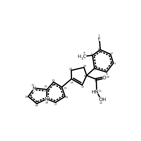 Cc1c(F)cccc1C1(C(=O)NO)C=C(c2ccn3ccnc3c2)CC1